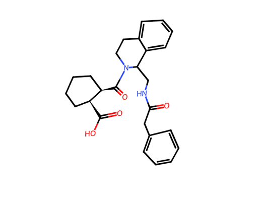 O=C(Cc1ccccc1)NCC1c2ccccc2CCN1C(=O)[C@@H]1CCCC[C@@H]1C(=O)O